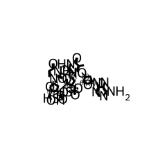 Cc1cn([C@H]2C[C@H](P(=O)(S)OC[C@H]3O[C@@H](n4cnc5c(N)ncnc54)C[C@@H]3O)[C@@H](COP(=O)(S)[C@H]3C[C@H](n4ccc(=O)[nH]c4=O)O[C@@H]3CO)O2)c(=O)[nH]c1=O